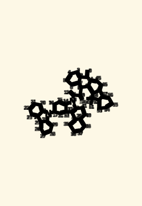 C=Cc1ccccc1C(C(=C)C(=C)n1c2ccc(-n3c4ccccc4c4ccccc43)cc2c2c3ccccc3ccc21)c1cccc2c1C(C)(C)c1ccccc1-2